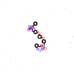 NC(=O)N(Cc1ccc(O[C@@H]2CCC[C@H](Oc3ccc(CN(OCc4ccccc4)C(N)=O)cc3)C2)cc1)OCc1ccccc1